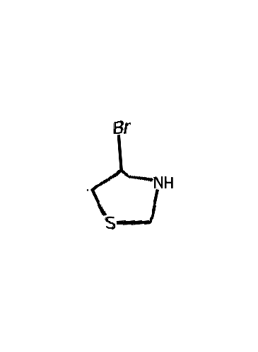 BrC1[CH]SCN1